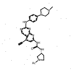 C#Cc1cc(NC(=O)N[C@@H]2CCN(C(C)=O)C2)nc2nc(Nc3ccc(N4CCN(C)CC4)cc3)ncc12